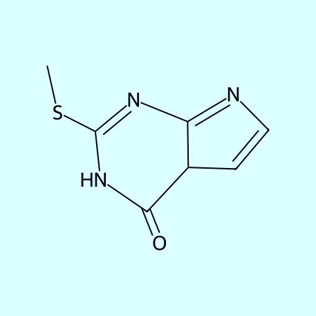 CSC1=NC2=NC=CC2C(=O)N1